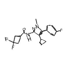 Cn1nc(NC(=O)C2CC(F)(F)C2)c(C2CCC2)c1-c1ccc(F)cc1